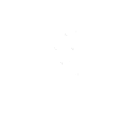 CCN(C)c1nc(=O)n(C2CCCCC2Cl)c(=O)n1CC